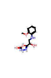 COc1ccccc1NCC(O)c1n[nH]c(=O)o1